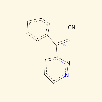 N#C/C=C(\c1ccccc1)c1cccnn1